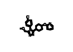 COCc1nnc(C2CCC(Oc3ccccn3)CC2)n1-c1ccc(Cl)cc1